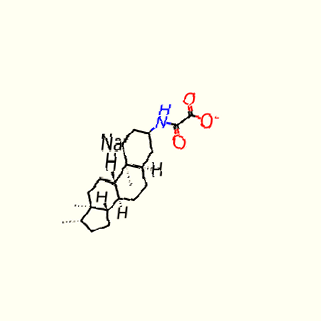 C[C@H]1CC[C@H]2[C@@H]3CC[C@@H]4C[C@H](NC(=O)C(=O)[O-])CC[C@]4(C)[C@H]3CC[C@]12C.[Na+]